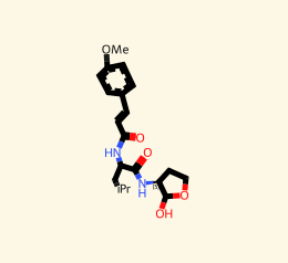 COc1ccc(C=CC(=O)NC(CC(C)C)C(=O)N[C@H]2CCOC2O)cc1